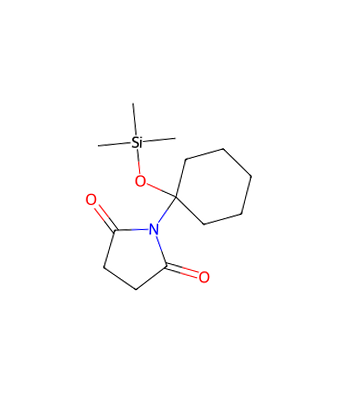 C[Si](C)(C)OC1(N2C(=O)CCC2=O)CCCCC1